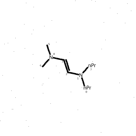 CCCN(/C=C/N(C)C)CCC